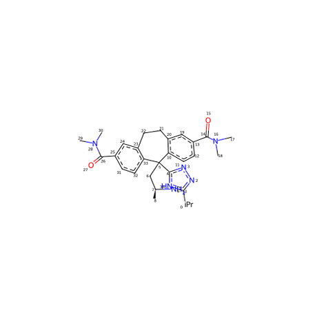 CC(C)c1nnc(C2(C[C@H](C)N)c3ccc(C(=O)N(C)C)cc3CCc3cc(C(=O)N(C)C)ccc32)[nH]1